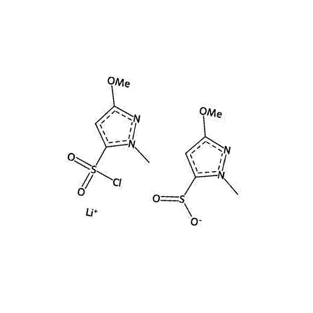 COc1cc(S(=O)(=O)Cl)n(C)n1.COc1cc(S(=O)[O-])n(C)n1.[Li+]